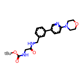 CC(C)(C)OC(=O)NCC(=O)NCc1cccc(-c2ccc(N3CCOCC3)nc2)c1